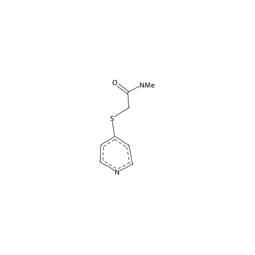 CNC(=O)CSc1ccncc1